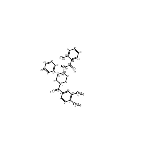 COc1ccc(C(=O)N2CC[C@@H](NC(=O)c3ccccc3Cl)[C@@H](c3cccnc3)C2)cc1OC